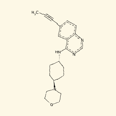 CC#Cc1ccc2ncnc(N[C@H]3CC[C@H](N4CCOCC4)CC3)c2c1